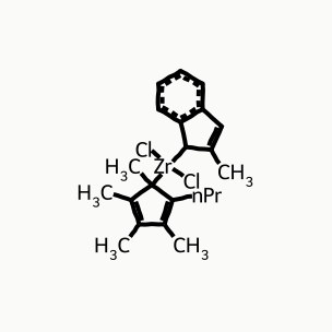 CCCC1=C(C)C(C)=C(C)[C]1(C)[Zr]([Cl])([Cl])[CH]1C(C)=Cc2ccccc21